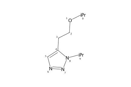 CC(C)OCCc1cnnn1C(C)C